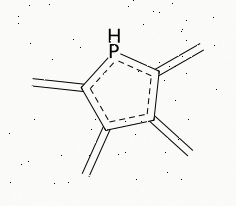 C=c1[pH]c(=C)c(=C)c1=C